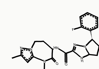 Cc1cc2n(n1)CC[C@H](NC(=O)C1=NN3C(CC[C@H]3c3ccccc3F)N1)C(=O)N2C